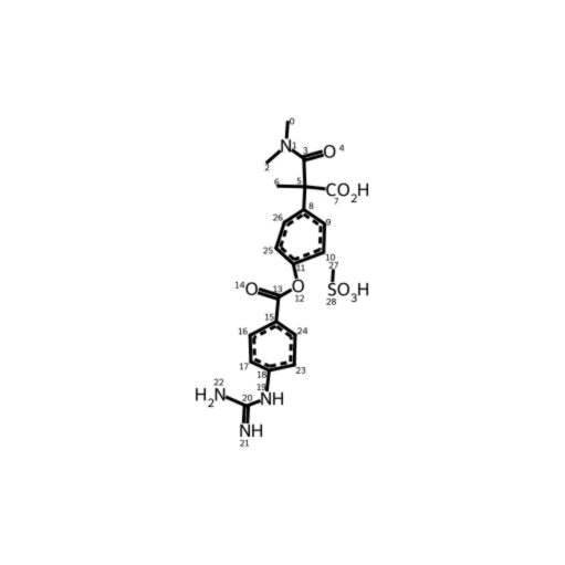 CN(C)C(=O)C(C)(C(=O)O)c1ccc(OC(=O)c2ccc(NC(=N)N)cc2)cc1.CS(=O)(=O)O